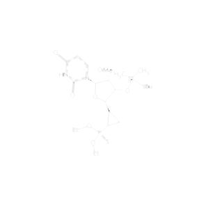 CCOP(=S)(OCC)C1CC1[C@H]1O[C@@H](n2ccc(=O)[nH]c2=O)[C@H](OC)[C@@H]1O[Si](C)(C)C(C)(C)C